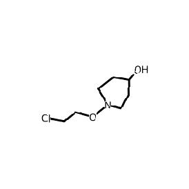 OC1CCN(OCCCl)CC1